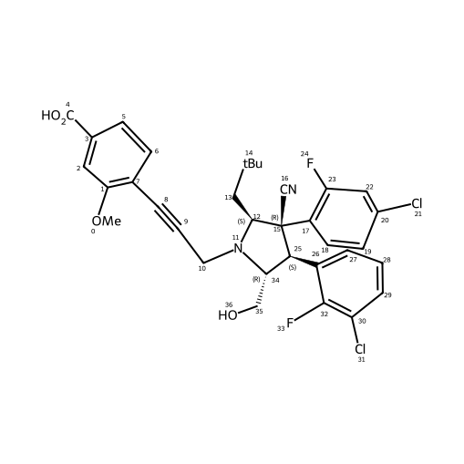 COc1cc(C(=O)O)ccc1C#CCN1[C@@H](CC(C)(C)C)[C@](C#N)(c2ccc(Cl)cc2F)[C@@H](c2cccc(Cl)c2F)[C@@H]1CO